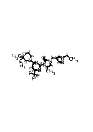 CCn1cc(Cn2cc(C)n(-c3nc(N4CCOC(C)(C)C4)cc(C(F)(F)F)n3)c2=O)cn1